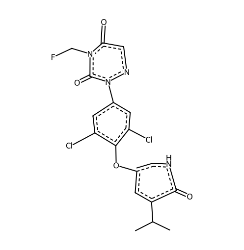 CC(C)c1cc(Oc2c(Cl)cc(-n3ncc(=O)n(CF)c3=O)cc2Cl)c[nH]c1=O